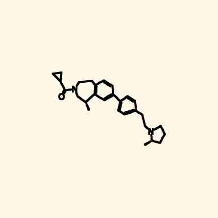 C[C@@H]1CCCN1CCc1ccc(-c2ccc3c(c2)[C@@H](C)CN(C(=O)C2CC2)CC3)cc1